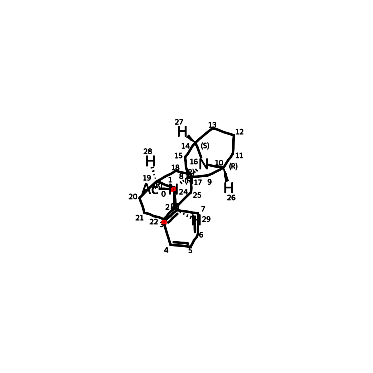 CC(=O)N(c1ccccc1)[C@H]1C[C@H]2CCC[C@@H](C1)N2[C@H]1C[C@@H]2CCC[C@@H](C2)C1